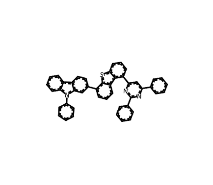 c1ccc(-c2cc(-c3cccc4sc5c(-c6ccc7c8ccccc8n(-c8ccccc8)c7c6)cccc5c34)nc(-c3ccccc3)n2)cc1